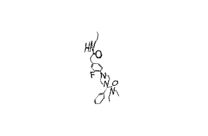 CCNC(=O)Cc1ccc(N2CCN(C(C(=O)N(CC)CC)c3ccccc3)CC2)c(F)c1